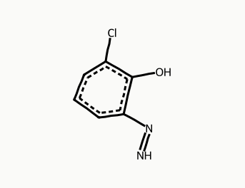 N=Nc1cccc(Cl)c1O